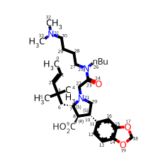 CC=CC(C)(C)C[C@H]1[C@H](C(=O)O)[C@@H](c2ccc3c(c2)OCO3)CN1CC(=O)N(CCCC)CCCCN(C)C